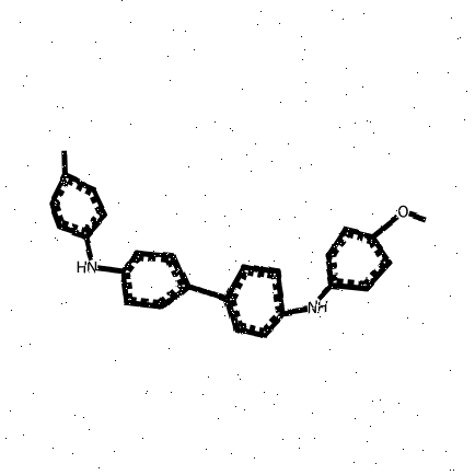 COc1ccc(Nc2ccc(-c3ccc(Nc4ccc(C)cc4)cc3)cc2)cc1